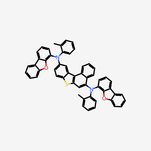 Cc1ccccc1N(c1ccc2sc3cc(N(c4ccccc4C)c4cccc5c4oc4ccccc45)c4ccccc4c3c2c1)c1cccc2c1oc1ccccc12